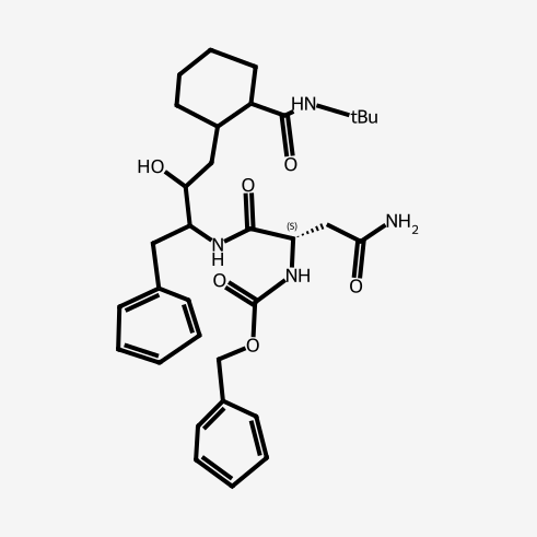 CC(C)(C)NC(=O)C1CCCCC1CC(O)C(Cc1ccccc1)NC(=O)[C@H](CC(N)=O)NC(=O)OCc1ccccc1